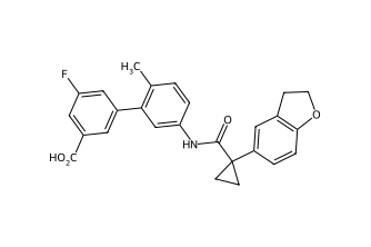 Cc1ccc(NC(=O)C2(c3ccc4c(c3)CCO4)CC2)cc1-c1cc(F)cc(C(=O)O)c1